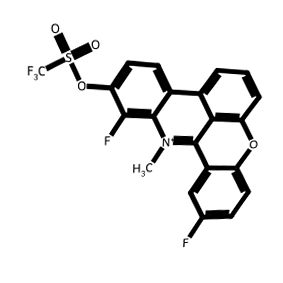 C[n+]1c2c3c(cccc3c3ccc(OS(=O)(=O)C(F)(F)F)c(F)c31)Oc1ccc(F)cc1-2